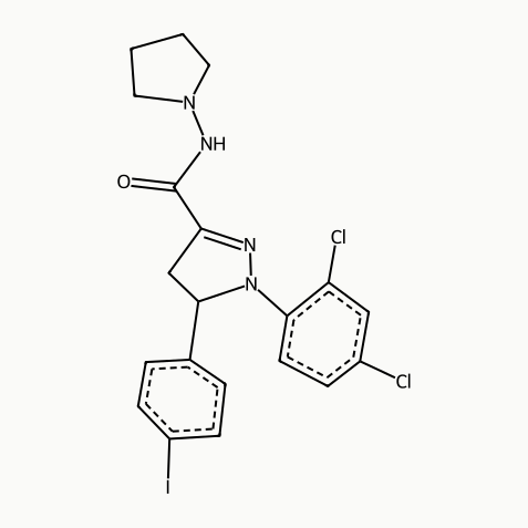 O=C(NN1CCCC1)C1=NN(c2ccc(Cl)cc2Cl)C(c2ccc(I)cc2)C1